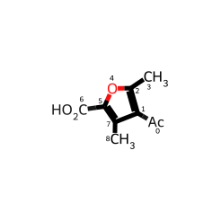 CC(=O)c1c(C)oc(C(=O)O)c1C